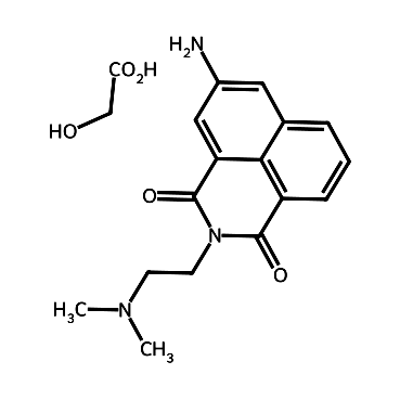 CN(C)CCN1C(=O)c2cccc3cc(N)cc(c23)C1=O.O=C(O)CO